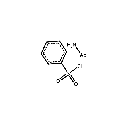 CC(N)=O.O=S(=O)(Cl)c1ccccc1